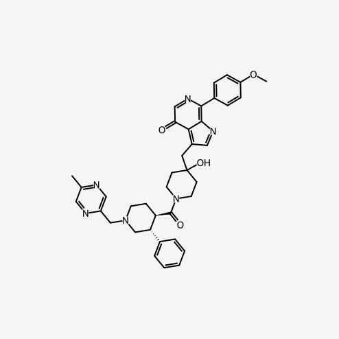 COc1ccc(C2=C3N=CC(CC4(O)CCN(C(=O)[C@@H]5CCN(Cc6cnc(C)cn6)C[C@H]5c5ccccc5)CC4)=C3C(=O)C=N2)cc1